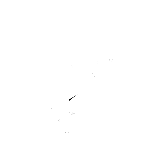 C=CS(=O)(=O)NC[C@@H]1CCN(C(=O)c2cc(Cl)ccc2OC)C1